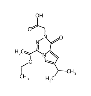 C=C(OCC)c1nn(CC(=O)O)c(=O)c2cc(C(C)C)cn12